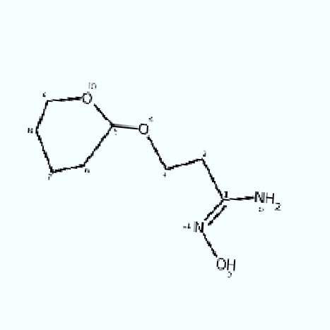 NC(CCOC1CCCCO1)=NO